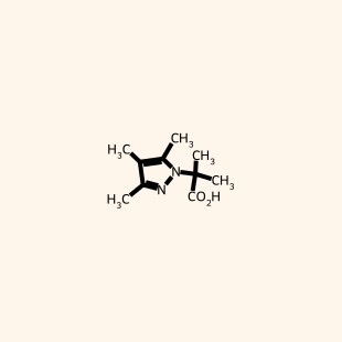 Cc1nn(C(C)(C)C(=O)O)c(C)c1C